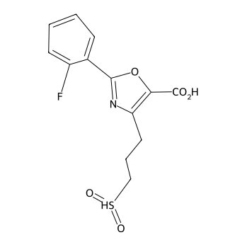 O=C(O)c1oc(-c2ccccc2F)nc1CCC[SH](=O)=O